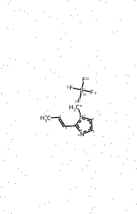 CC=Cc1nccn1C.F[B-](F)(F)F